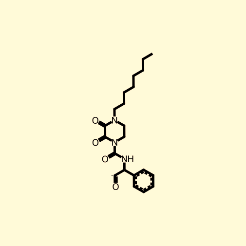 CCCCCCCCN1CCN(C(=O)NC([C]=O)c2ccccc2)C(=O)C1=O